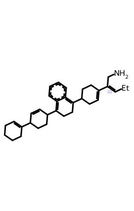 CC/C=C(\CN)C1=CCC(C2=c3ccccc3=C(C3C=CC(C4=CCCCC4)CC3)CC2)CC1